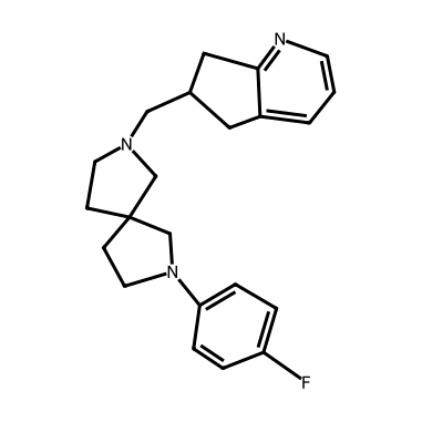 Fc1ccc(N2CCC3(CCN(CC4Cc5cccnc5C4)C3)C2)cc1